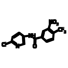 O=C(Nc1ccc(Cl)nc1)c1ccc(C(F)(F)F)c([N+](=O)[O-])c1